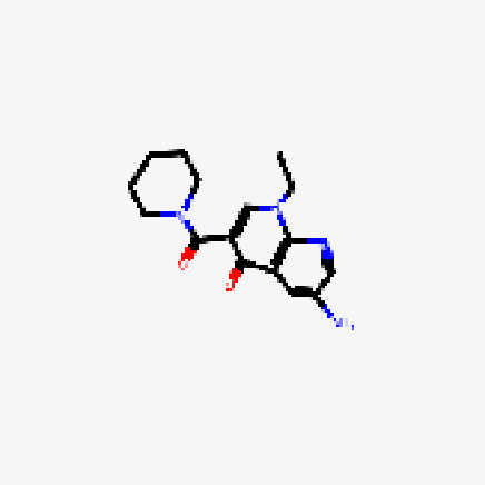 CCn1cc(C(=O)N2CCCCC2)c(=O)c2cc(N)cnc21